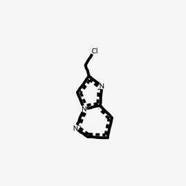 ClCc1cn2ncccc2n1